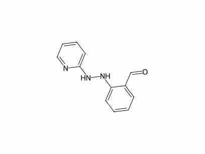 O=Cc1ccccc1NNc1ccccn1